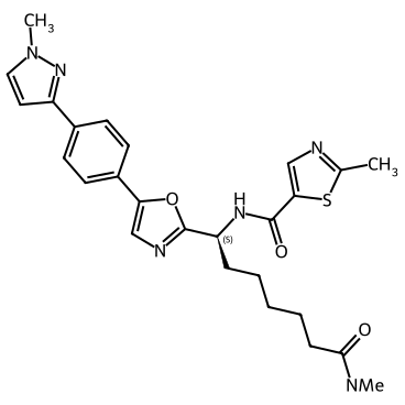 CNC(=O)CCCCC[C@H](NC(=O)c1cnc(C)s1)c1ncc(-c2ccc(-c3ccn(C)n3)cc2)o1